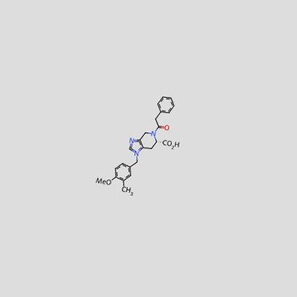 COc1ccc(Cn2cnc3c2C[C@@H](C(=O)O)N(C(=O)Cc2ccccc2)C3)cc1C